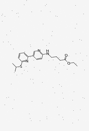 CCOC(=O)CCCNc1ccc(-c2cccc(SC(C)C)n2)cn1